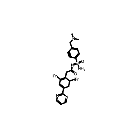 CC(C)C1=C(CC(=O)N=S(N)(=O)c2c#cc(CN(C)C)cc2)C(C(C)C)CC(c2ncccn2)=C1